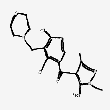 Cc1nn(C)c(O)c1C(=O)c1ccc(Cl)c(CN2CCSCC2)c1Cl